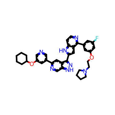 Fc1cc(OCCN2CCCC2)cc(-c2nccc3[nH]c(-c4n[nH]c5cnc(-c6cncc(OC7CCCCC7)c6)cc45)cc23)c1